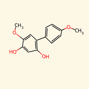 COc1ccc(-c2cc(OC)c(O)cc2O)cc1